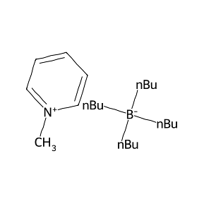 CCCC[B-](CCCC)(CCCC)CCCC.C[n+]1ccccc1